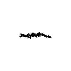 CCCCCC/C=C/Oc1ccc(C(=O)Oc2ccc(-c3ncc(CCCC[C@@H](C)CC)cn3)cc2)cc1